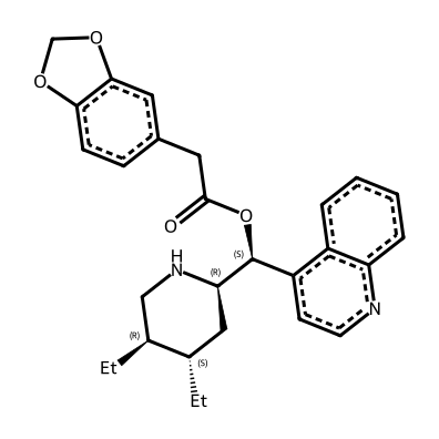 CC[C@H]1CN[C@@H]([C@@H](OC(=O)Cc2ccc3c(c2)OCO3)c2ccnc3ccccc23)C[C@@H]1CC